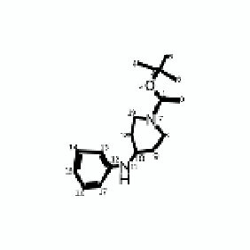 C=C(OC(C)(C)C)N1CCC(Nc2ccccc2)CC1